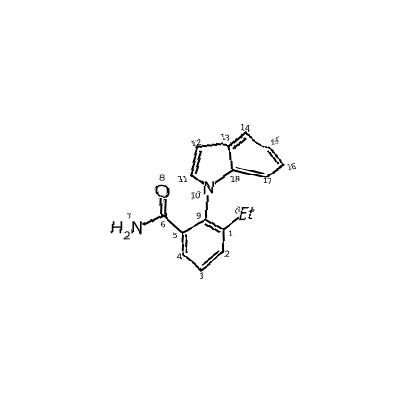 CCc1cccc(C(N)=O)c1-n1ccc2ccccc21